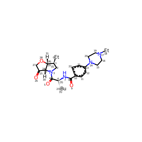 CC[C@H]1CN(C(=O)[C@@H](NC(=O)c2ccc(N3CCN(CC)CC3)cc2)[C@@H](C)CC)[C@@H]2C(=O)CO[C@H]12